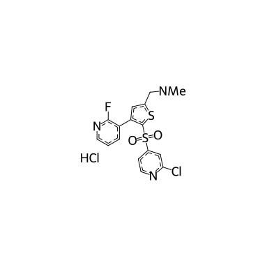 CNCc1cc(-c2cccnc2F)c(S(=O)(=O)c2ccnc(Cl)c2)s1.Cl